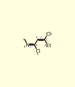 CC/C(Cl)=C\C(Cl)=N/C